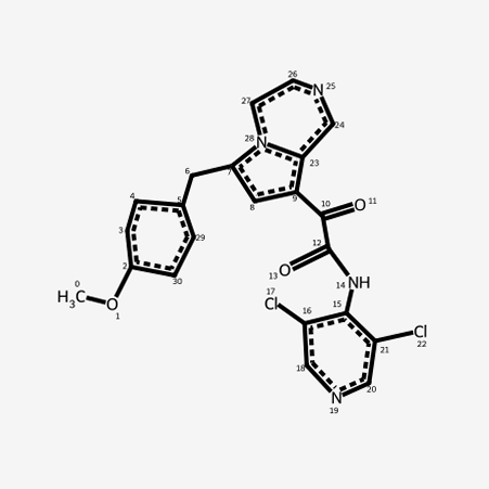 COc1ccc(Cc2cc(C(=O)C(=O)Nc3c(Cl)cncc3Cl)c3cnccn23)cc1